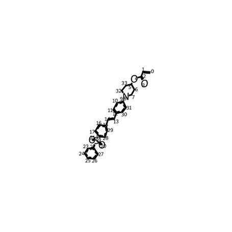 C=CC(=O)OC1CCN(c2ccc(/C=C/c3ccc(S(=O)(=O)c4ccccc4)cc3)cc2)CC1